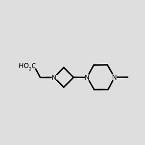 CN1CCN(C2CN(CC(=O)O)C2)CC1